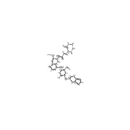 COc1cc2ncnc(Nc3cc(C)c(Oc4ccn5ncnc5c4)cc3OC)c2cc1NC(=O)/C=C/C1CCCCN1C